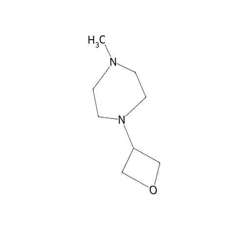 CN1CCN(C2COC2)CC1